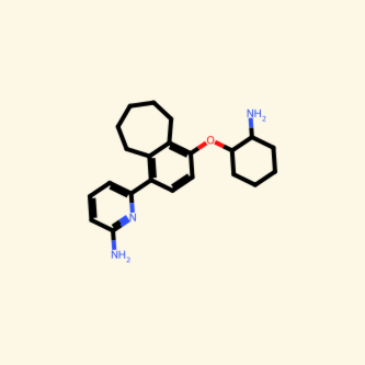 Nc1cccc(-c2ccc(OC3CCCCC3N)c3c2CCCCC3)n1